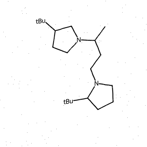 CC(CCN1CCCC1C(C)(C)C)N1CCC(C(C)(C)C)C1